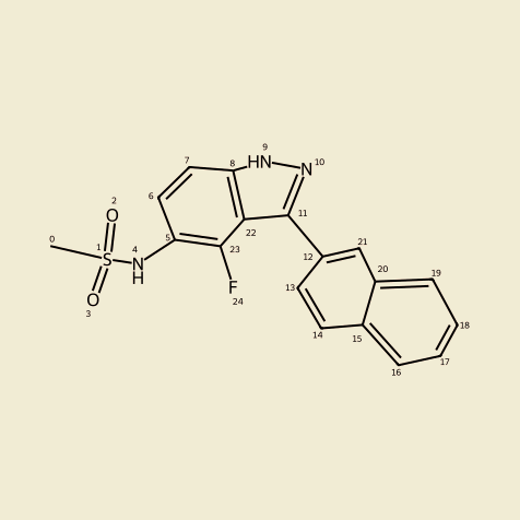 CS(=O)(=O)Nc1ccc2[nH]nc(-c3ccc4ccccc4c3)c2c1F